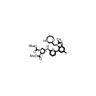 COC(=O)[C@@H]1C[C@H](Nc2cccc(-c3cc(F)cc4nc(C)n(CC5CNCCCO5)c34)n2)CN1C(=O)OC(C)(C)C